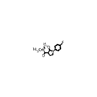 CN(C)C(=O)C1CCN(c2ccc(F)cc2)C1=O